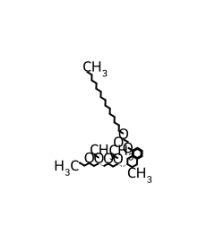 CCCCCCCCCCCCCCCCOC(=O)COc1cccc2c1C[C@@H](C[C@H](CCC[C@H](CCCCC)OC(C)=O)OC(C)=O)[C@@H](C)C2